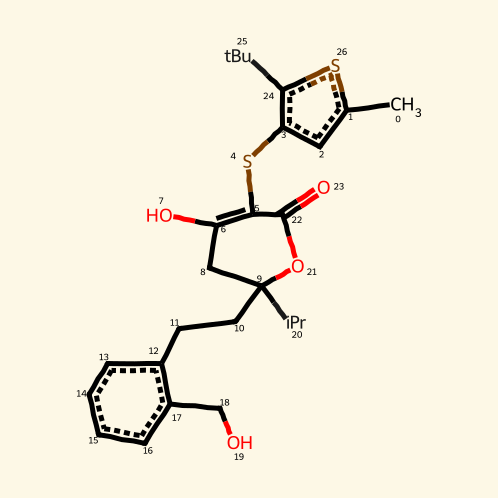 Cc1cc(SC2=C(O)CC(CCc3ccccc3CO)(C(C)C)OC2=O)c(C(C)(C)C)s1